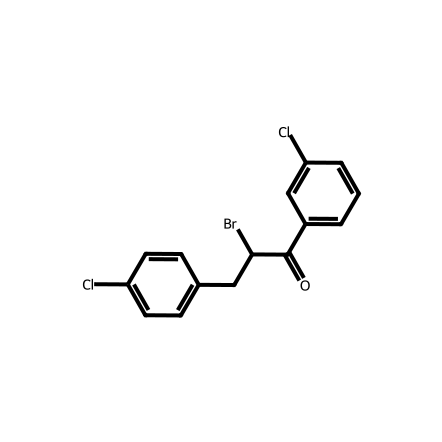 O=C(c1cccc(Cl)c1)C(Br)Cc1ccc(Cl)cc1